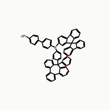 CCCc1ccc(-c2ccc(N(c3ccc(C4(c5ccccc5)c5ccccc5-c5ccccc5-c5ccccc54)cc3)c3ccc4c(c3)C3(c5ccccc5-c5ccccc53)c3ccccc3-4)cc2)cc1